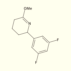 COC1=NC(c2cc(F)cc(F)c2)CCC1